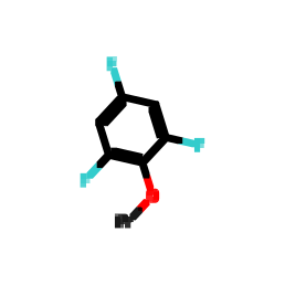 CC(C)Oc1c(F)cc(F)cc1F